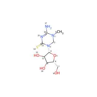 CN1CN([C@@H]2O[C@H](CO)C(O)C2O)C(=S)N=C1N